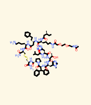 CC[C@H](C)CC(=O)N[C@@H](CCCCNC(=O)COCCOCCNC(C)=O)C(=O)N[C@@H](CCc1ccccc1)CC(=O)N[C@H](CCCCN)C(=O)N[C@@H](CSSC[C@H](NC(=O)[C@@H]1CCCN1C(=O)[C@@H](NC(=O)[C@H](Cc1cncn1C)NC(=O)[C@@H](NC(=O)[C@H](CC1N=NN=N1)NC(=O)CC(C)C)[C@@H](C)O)C(c1ccccc1)c1ccccc1)C(N)=O)C(N)=O